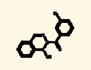 O=C(c1cccc(Cl)c1)N1N=Cc2ccccc2B1O